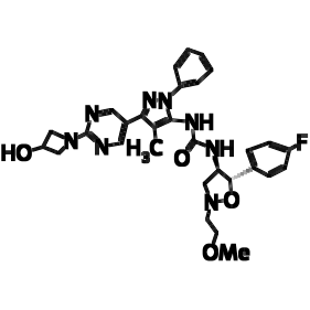 COCCN1C[C@@H](NC(=O)Nc2c(C)c(-c3cnc(N4CC(O)C4)nc3)nn2-c2ccccc2)[C@H](c2ccc(F)cc2)O1